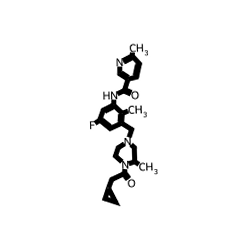 Cc1ccc(C(=O)Nc2cc(F)cc(CN3CCN(C(=O)CC4CC4)C(C)C3)c2C)cn1